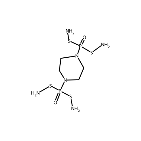 NSP(=O)(SN)N1CCN(P(=O)(SN)SN)CC1